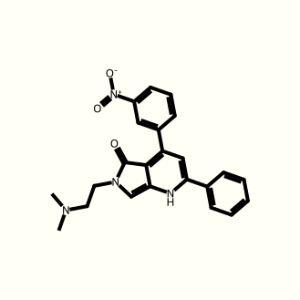 CN(C)CCn1cc2[nH]c(-c3ccccc3)cc(-c3cccc([N+](=O)[O-])c3)c-2c1=O